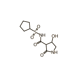 O=C1NCC(O)C1C(=O)NS(=O)(=O)C1CCCC1